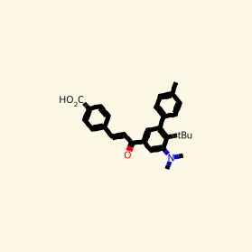 Cc1ccc(-c2cc(C(=O)/C=C/c3ccc(C(=O)O)cc3)cc(N(C)C)c2C(C)(C)C)cc1